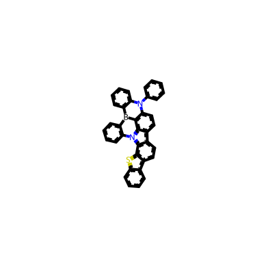 c1ccc(N2c3ccccc3B3c4ccccc4-n4c5c3c2ccc5c2ccc3c5ccccc5sc3c24)cc1